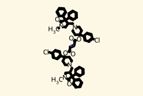 CN1CC(CN2CCC(OC(=O)/C=C/C(=O)OC3(c4ccc(Cl)cc4)CCN(CC4CN(C)C(=O)C4(c4ccccc4)c4ccccc4)CC3)(c3ccc(Cl)cc3)CC2)C(c2ccccc2)(c2ccccc2)C1=O